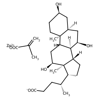 C=C(C)C(=O)[O-].C[C@H](CCC(=O)[O-])[C@H]1CC[C@H]2[C@@H]3[C@H](O)C[C@@H]4C[C@H](O)CC[C@]4(C)[C@H]3C[C@H](O)[C@]12C.[Zn+2]